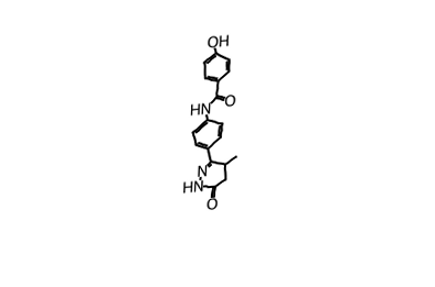 CC1CC(=O)NN=C1c1ccc(NC(=O)c2ccc(O)cc2)cc1